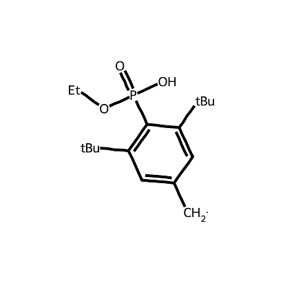 [CH2]c1cc(C(C)(C)C)c(P(=O)(O)OCC)c(C(C)(C)C)c1